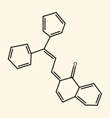 O=C1C(=CC=C(c2ccccc2)c2ccccc2)C=Cc2ccccc21